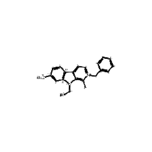 Cc1c2c(cc[n+]1Cc1ccccc1)c1ccc(OCC(C)C)cc1n2CC(C)C